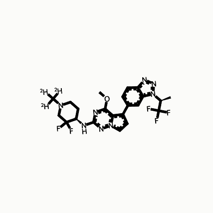 [2H]C([2H])([2H])N1CC[C@@H](Nc2nc(OC)c3c(-c4ccc5nnn([C@@H](C)C(F)(F)F)c5c4)ccn3n2)C(F)(F)C1